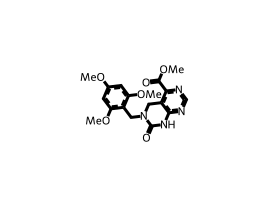 COC(=O)c1ncnc2c1CN(Cc1c(OC)cc(OC)cc1OC)C(=O)N2